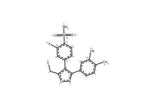 Cc1ccc(-c2noc(CF)c2-c2ccc(S(N)(=O)=O)c(F)c2)cc1C#N